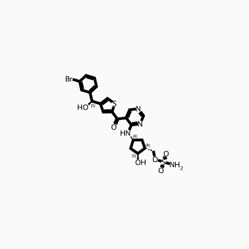 NS(=O)(=O)OC[C@H]1C[C@@H](Nc2ncncc2C(=O)c2cc([C@@H](O)c3cccc(Br)c3)cs2)C[C@@H]1O